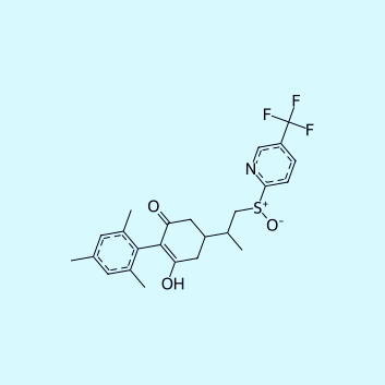 Cc1cc(C)c(C2=C(O)CC(C(C)C[S+]([O-])c3ccc(C(F)(F)F)cn3)CC2=O)c(C)c1